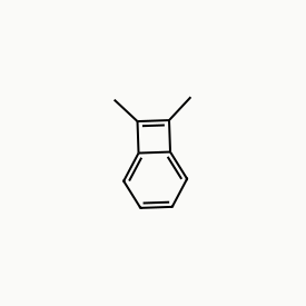 CC1=C(C)c2ccccc21